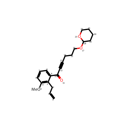 C=CCc1c(OC)cccc1C(=O)C#CCCCOC1CCCCO1